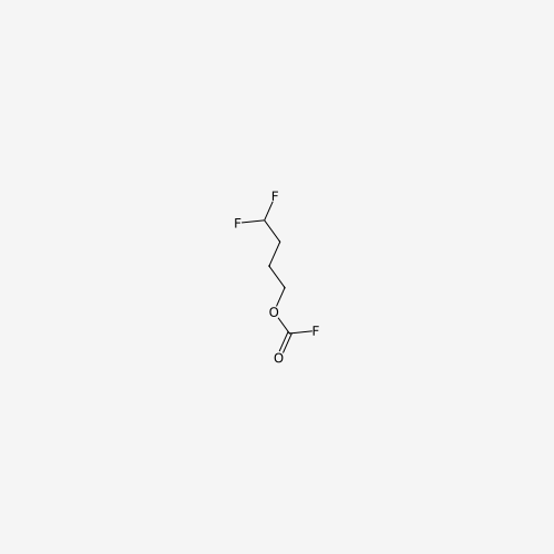 O=C(F)OCCCC(F)F